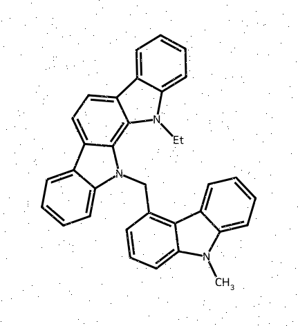 CCn1c2ccccc2c2ccc3c4ccccc4n(Cc4cccc5c4c4ccccc4n5C)c3c21